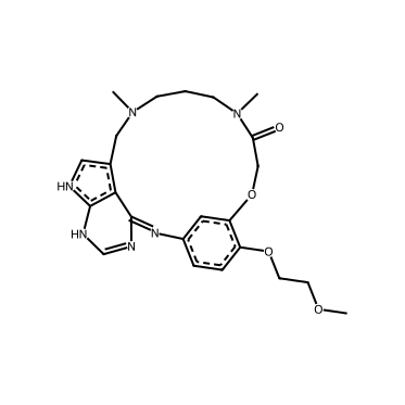 COCCOc1ccc2cc1OCC(=O)N(C)CCCN(C)Cc1c[nH]c3c1/C(=N\2)N=CN3